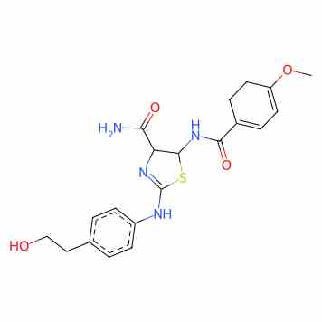 COC1=CC=C(C(=O)NC2SC(Nc3ccc(CCO)cc3)=NC2C(N)=O)CC1